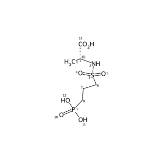 C[C@@H](NS(=O)(=O)CCCP(=O)(O)O)C(=O)O